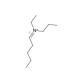 CCCC/C=[N+](/CC)CCC